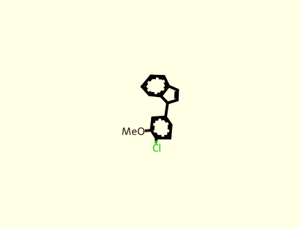 COc1cc(C2C=Cc3ccccc32)ccc1Cl